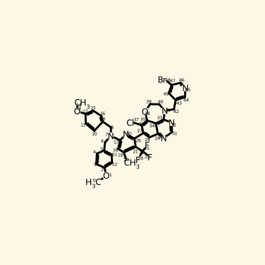 COc1ccc(CN(Cc2ccc(OC)cc2)c2cc(C)c(C(F)(F)F)c(-c3cc4ncnc5c4c(c3Cl)OCCN5Cc3cncc(Br)c3)n2)cc1